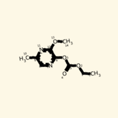 CCOC(=O)Oc1ncc(C)nc1OC